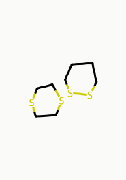 C1CCSSC1.C1CSCCS1